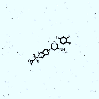 N[C@H]1C[C@@H](N2Cc3cn(S(=O)(=O)C4CO4)nc3C2)CO[C@@H]1c1cc(F)c(F)cc1F